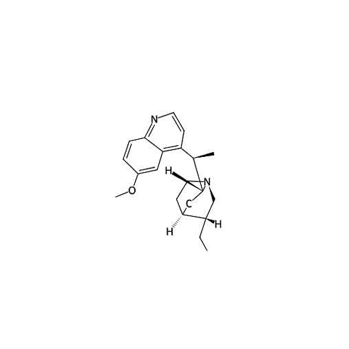 CC[C@H]1C[N@]2CC[C@H]1C[C@@H]2[C@H](C)c1ccnc2ccc(OC)cc12